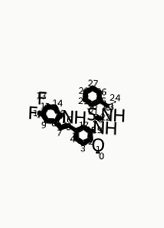 COc1ccc(-c2cc3cc(F)c(F)cc3[nH]2)cc1NC(=S)N[C@@H](C)c1ccccc1